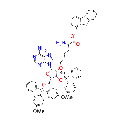 COc1ccc(C(OC[C@H]2O[C@@H](n3cnc4c(N)ncnc43)C(OCCCCC(N)C(=O)OCc3cccc4c3Cc3ccccc3-4)C2O[Si](c2ccccc2)(c2ccccc2)C(C)(C)C)(c2ccccc2)c2ccc(OC)cc2)cc1